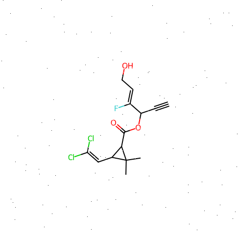 C#CC(OC(=O)C1C(C=C(Cl)Cl)C1(C)C)C(F)=CCO